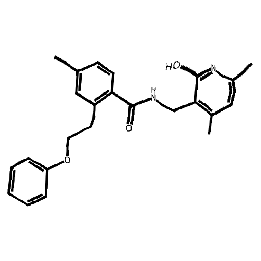 Cc1ccc(C(=O)NCc2c(C)cc(C)nc2O)c(CCOc2ccccc2)c1